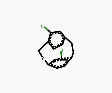 Clc1cc2ccc1CCc1ccc(c(Cl)c1)CC2